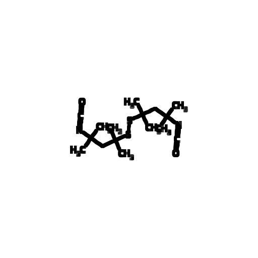 CC(C)(CC(C)(C)SSC(C)(C)CC(C)(C)N=C=O)N=C=O